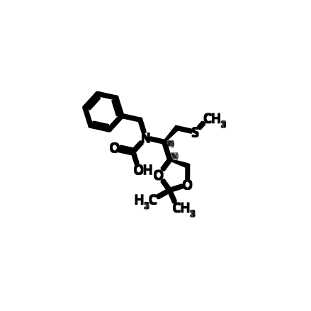 CSC[C@@H]([C@H]1COC(C)(C)O1)N(Cc1ccccc1)C(=O)O